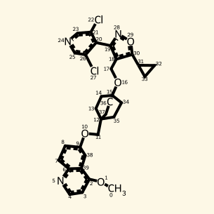 COc1ccnc2ccc(OCC34CCC(OCc5c(-c6c(Cl)cncc6Cl)noc5C5CC5)(CC3)CC4)cc12